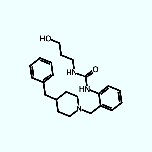 O=C(NCCCO)Nc1ccccc1CN1CCC(Cc2ccccc2)CC1